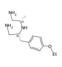 CCOc1ccc(C[C@H](CN)N[C@@H](C)CN)cc1